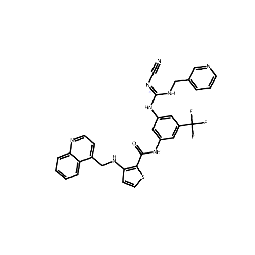 N#C/N=C(\NCc1cccnc1)Nc1cc(NC(=O)c2sccc2NCc2ccnc3ccccc23)cc(C(F)(F)F)c1